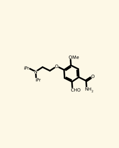 COc1cc(C(N)=O)c(C=O)cc1OCCN(C(C)C)C(C)C